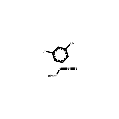 CCCCCN=[N+]=[N-].N#Cc1cccc(C(F)(F)F)c1